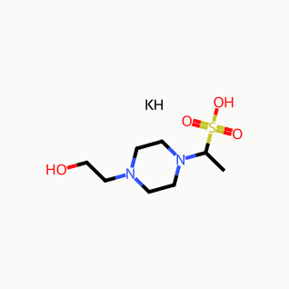 CC(N1CCN(CCO)CC1)S(=O)(=O)O.[KH]